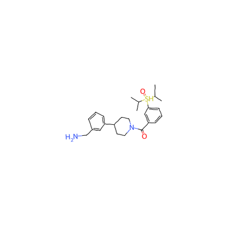 CC(C)[SH](=O)(c1cccc(C(=O)N2CCC(c3cccc(CN)c3)CC2)c1)C(C)C